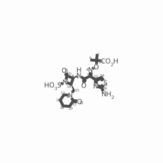 CC(C)(ON=C(C(=O)N[C@@H]1C(=O)N(S(=O)(=O)O)[C@@H]1CN1CCCCC1=O)c1csc(N)n1)C(=O)O